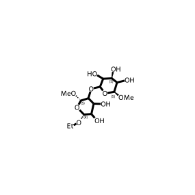 CCO[C@@H]1O[C@H](OC)C(OC2O[C@H](OC)C(O)[C@H](O)C2O)C(O)C1O